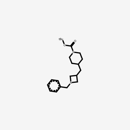 CC(C)(C)OC(=O)N1CCC(CC2CN(Cc3ccccc3)C2)CC1